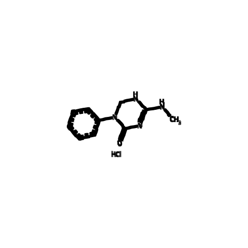 CNC1=NC(=O)N(c2ccccc2)CN1.Cl